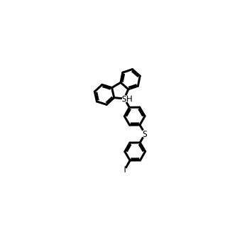 Ic1ccc(Sc2ccc([SH]3c4ccccc4-c4ccccc43)cc2)cc1